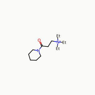 CC[N+](CC)(CC)CCC(=O)N1CCCCC1